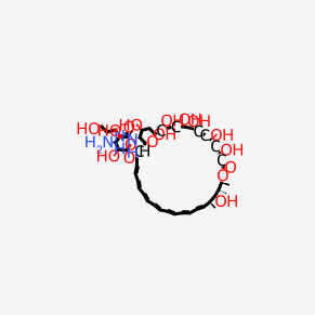 C[C@@H]1[C@H](O)[C@@H](C)/C=C/C=C/C=C/C=C/C=C/C=C/C=C/[C@H](O[C@@H]2O[C@H](C)[C@@H](O)[C@H](N)[C@@H]2O)C[C@@H]2O[C@](O)(C[C@@H](O)C[C@@H](O)[C@H](O)CC[C@@H](O)C[C@@H](O)CC(=O)O[C@H]1C)C[C@H](O)[C@H]2NC(=O)NCCCO